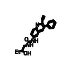 C#Cc1nc2ccc(NC(=O)NCC(O)CC)cc2cc1-c1ccccc1